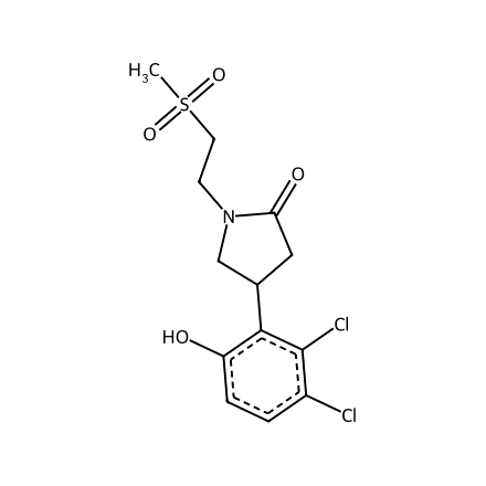 CS(=O)(=O)CCN1CC(c2c(O)ccc(Cl)c2Cl)CC1=O